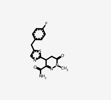 CN1N=C(C(N)=O)C(c2ncc(Cc3ccc(F)cc3)s2)CC1=O